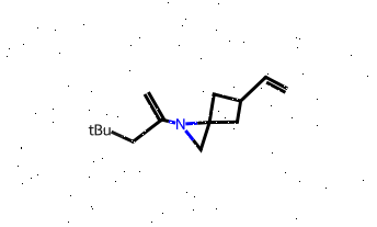 C=CC1CC2(C1)CN2C(=C)CC(C)(C)C